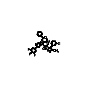 Cc1nnc([C@@H]2O[C@@H]3COC(c4ccccc4)O[C@@H]3[C@H](n3cc(-c4cc(F)c(F)c(F)c4)nn3)[C@H]2O)n1-c1cccc(Cl)c1